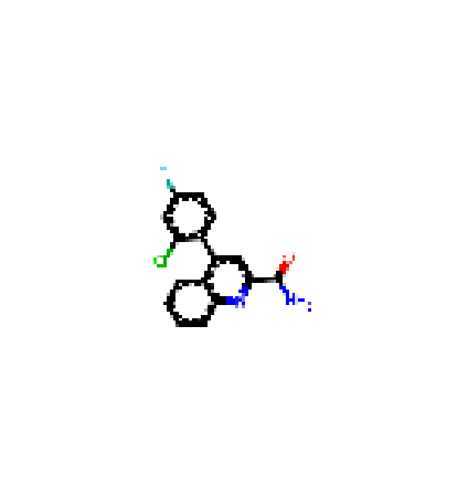 NC(=O)c1cc(-c2ccc(F)cc2Cl)c2ccccc2n1